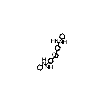 N=C(NC1CCCCC1)c1ccc(-c2ccc(-c3ccc(C(=N)NC4CCCCC4)cc3)o2)cc1